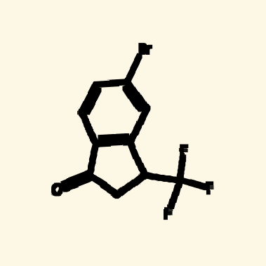 O=C1CC(C(F)(F)F)c2cc(Br)ccc21